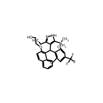 CCc1n[nH]c(N(C)C)c1C(c1c(Cl)cc(C(F)(F)F)cc1Cl)c1c(OCCO)ccc2ccccc12